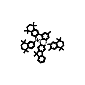 Cc1cc2c3c(c1)N(c1cc4c(cc1C)C(C)(C)CCC4(C)C)c1cc4c(cc1B3N(c1ccc3c(c1)C(C)(C)CCC3(C)C)c1cc3c(cc1-2)C(C)(C)CCC3(C)C)C(C)(C)c1ccccc1-4